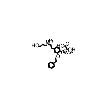 CCCN(CCCO)CCc1ccc(OC)c(OCCc2ccccc2)c1.O=C(O)C(=O)O